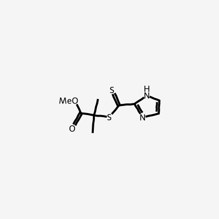 COC(=O)C(C)(C)SC(=S)c1ncc[nH]1